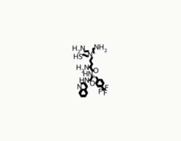 NCC[N+](CCN)(CCS)CCC[C@H](N)C(=O)N[C@H](Cc1ccc(C(F)(F)F)cc1)C(=O)Nc1cnc2ccccc2c1